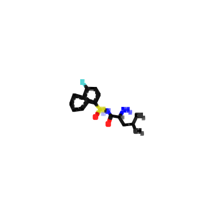 CC(C)C[C@H](N)C(=O)/N=[SH](=O)/c1ccc(F)c2ccccc12